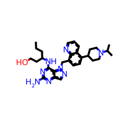 CCCC(CCO)Nc1nc(N)nc2cnn(Cc3ccc(C4CCN(C(C)C)CC4)c4cccnc34)c12